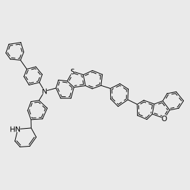 C1=CNC(c2ccc(N(c3ccc(-c4ccccc4)cc3)c3ccc4c(c3)sc3ccc(-c5ccc(-c6ccc7oc8ccccc8c7c6)cc5)cc34)cc2)C=C1